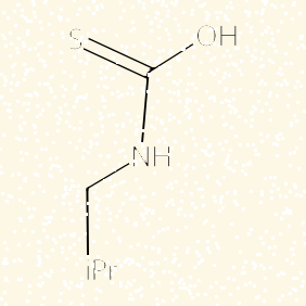 CC(C)CNC(O)=S